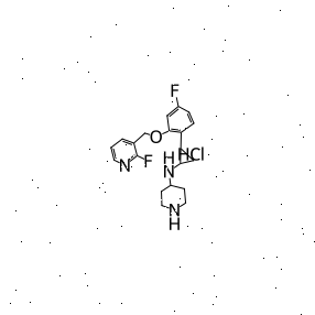 Cl.Fc1ccc(C2CC2NC2CCNCC2)c(OCc2cccnc2F)c1